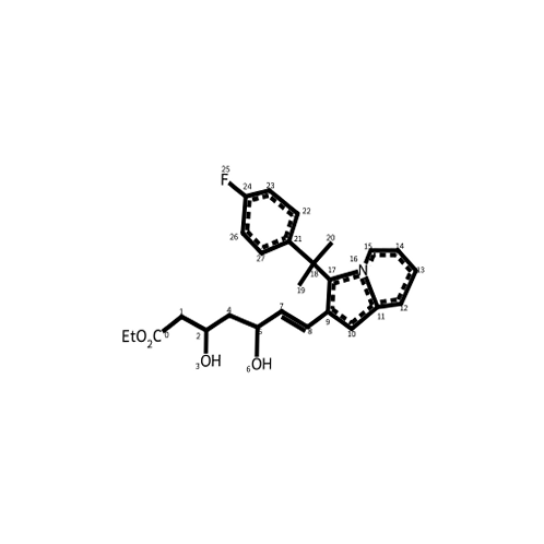 CCOC(=O)CC(O)CC(O)C=Cc1cc2ccccn2c1C(C)(C)c1ccc(F)cc1